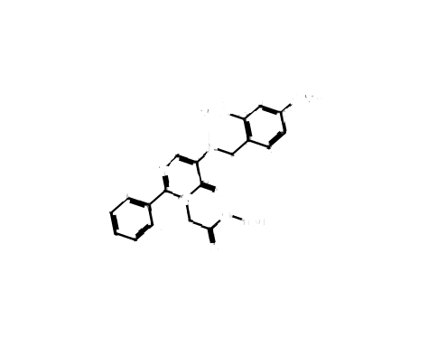 CCCCOC(=O)Cn1c(-c2ccccc2)ncc(NCc2ccc(OC)cc2OC)c1=O